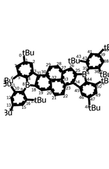 CC(C)(C)c1cc2c(c(C(C)(C)C)c1)B(c1c(C(C)(C)C)cc(C(C)(C)C)cc1C(C)(C)C)c1cc3ccc4c5c(cc6ccc(c1-2)c3c64)B(c1c(C(C)(C)C)cc(C(C)(C)C)cc1C(C)(C)C)c1c-5cc(C(C)(C)C)cc1C(C)(C)C